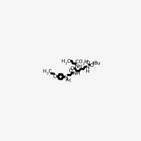 C=CCOc1ccc(N(CCC(=O)NC(CCCCNC(=O)OC(C)(C)C)C(=O)N[C@@H](CC=C)C(=O)O)C(C)=O)cc1